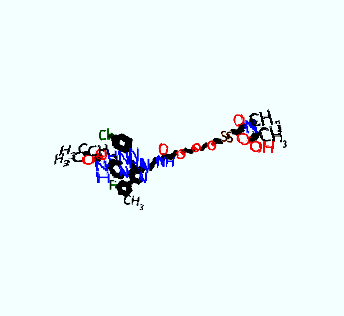 Cc1cc(F)cc(-c2cnc(NCCNC(=O)CCOCCOCCOCCSSCCC(=O)N(C)[C@H](C)C(=O)O)c(-c3nc4ccc(Cl)cc4[nH]3)c2N2CCC(NC(=O)OC(C)(C)C)CC2)c1